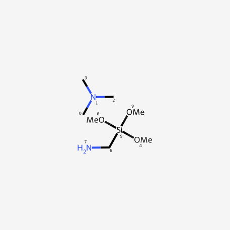 CN(C)C.CO[Si](CN)(OC)OC